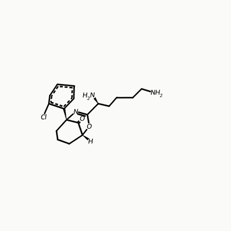 NCCCC[C@H](N)C1=N[C@@]2(c3ccccc3Cl)CCC[C@@H](O1)C2=O